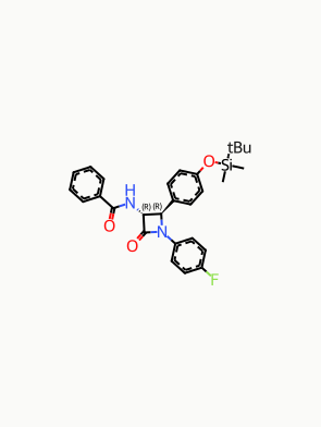 CC(C)(C)[Si](C)(C)Oc1ccc([C@@H]2[C@@H](NC(=O)c3ccccc3)C(=O)N2c2ccc(F)cc2)cc1